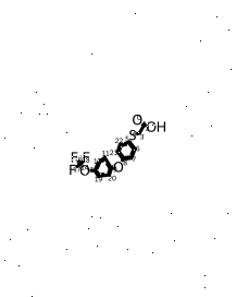 O=C(O)CSc1ccc(Oc2ccc(OC(F)(F)F)cc2)cc1